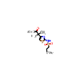 COCCS(=O)(=O)Nc1nc(C(C)(C)C(=O)OC)cs1